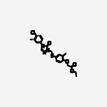 CCOC(=O)COc1ccc(SCn2ncn(-c3ccc(Cl)c(C)c3)c2=O)cc1C